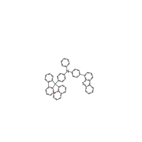 c1ccc(N(c2ccc(-c3cccc4c3sc3ccccc34)cc2)c2ccc(C3(c4cccc5ccccc45)c4ccccc4-c4ccccc43)cc2)cc1